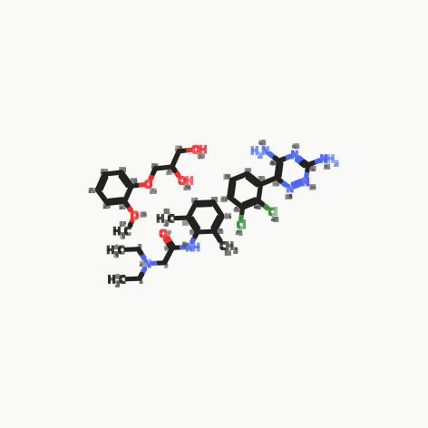 CCN(CC)CC(=O)Nc1c(C)cccc1C.COc1ccccc1OCC(O)CO.Nc1nnc(-c2cccc(Cl)c2Cl)c(N)n1